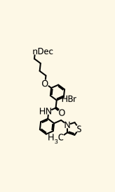 Br.CCCCCCCCCCCCCCOc1cccc(C(=O)Nc2ccccc2CN2CSC=C2C)c1